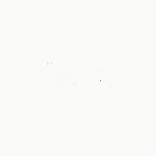 O=C(/C=C/c1cc(O)cc(O)c1)N1CCN(C(=O)c2cccc(O)c2)CC1